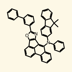 CC1(C)c2ccccc2-c2ccc(N(c3ccccc3)c3c4c5c(cccc5c5ccccc35)-c3oc(-c5cccc(-c6ccccc6)c5)nc3-4)cc21